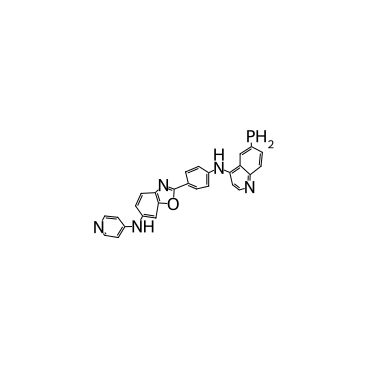 Pc1ccc2nccc(Nc3ccc(-c4nc5ccc(Nc6ccncc6)cc5o4)cc3)c2c1